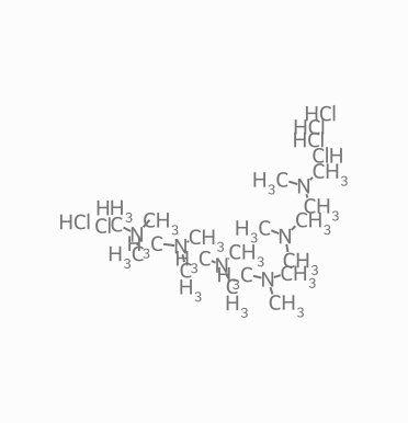 CN(C)C.CN(C)C.CN(C)C.CN(C)C.CN(C)C.CN(C)C.Cl.Cl.Cl.Cl.Cl.Cl